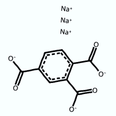 O=C([O-])c1ccc(C(=O)[O-])c(C(=O)[O-])c1.[Na+].[Na+].[Na+]